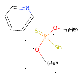 CCCCCCOP(=S)(S)OCCCCCC.c1ccncc1